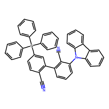 N#Cc1ccc([Si](c2ccccc2)(c2ccccc2)c2ccccc2)cc1-c1cccc(-n2c3ccccc3c3ccccc32)c1C#N